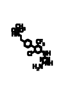 CS(=O)(=O)NCCc1ccc(-c2c(Cl)cc(Nc3n[nH]c(N)n3)cc2C(F)(F)F)cc1